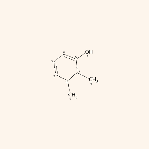 CC1C=CC=C(O)C1C